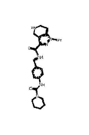 CC(C)n1nc(C(=O)NCc2ccc(NC(=O)N3CCCCC3)cc2)c2c1CCNC2